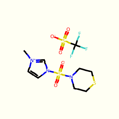 C[n+]1ccn(S(=O)(=O)N2CCSCC2)c1.O=S(=O)([O-])C(F)(F)F